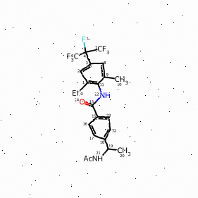 CCc1cc(C(F)(C(F)(F)F)C(F)(F)F)cc(C)c1NC(=O)c1ccc(C(C)NC(C)=O)cc1